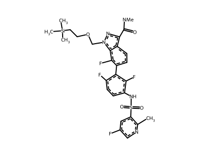 CNC(=O)c1nn(COCC[Si](C)(C)C)c2c(F)c(-c3c(F)ccc(NS(=O)(=O)c4cc(F)cnc4C)c3F)ccc12